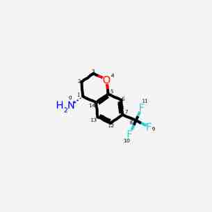 N[C@@H]1CCOc2cc(C(F)(F)F)ccc21